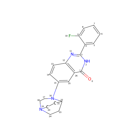 O=c1[nH]c(-c2ccccc2F)nc2ccc(N3CCN4CCC3CC4)cc12